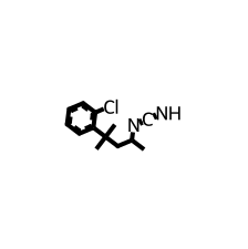 CC(CC(C)(C)c1ccccc1Cl)N=C=N